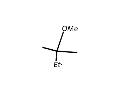 C[CH]C(C)(C)OC